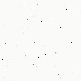 COCCC(=O)C(=O)O